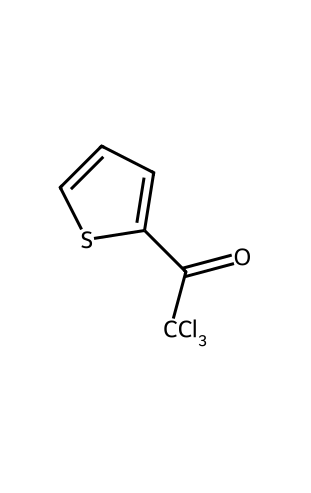 O=C(c1cccs1)C(Cl)(Cl)Cl